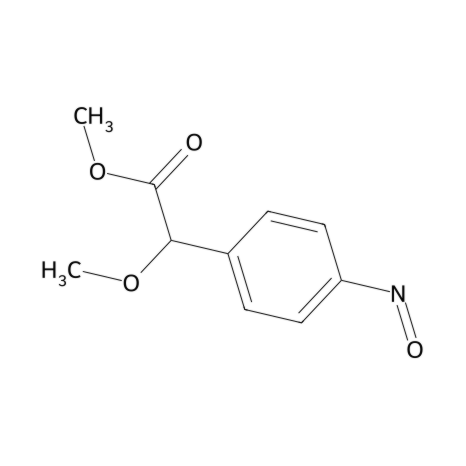 COC(=O)C(OC)c1ccc(N=O)cc1